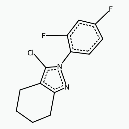 Fc1ccc(-n2nc3c(c2Cl)CCCC3)c(F)c1